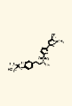 CCCN(CCc1ccc(OC(C)(C)C(=O)O)cc1)S(=O)(=O)c1ccc(-c2cc(C(F)(F)F)n(C)n2)s1